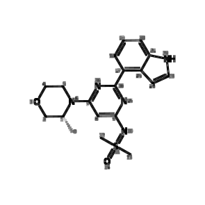 C[C@@H]1COCCN1c1cc(N=S(C)(C)=O)nc(-c2cccc3[nH]ccc23)n1